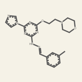 Cc1cccc(C=NNc2nc(OCCN3CCOCC3)nc(-n3ccnc3)n2)c1